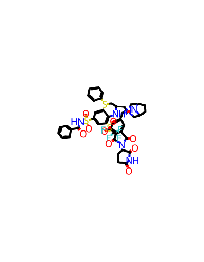 O=C1CCC(N2C(=O)c3cc(CN4CC5CCC(C4)N5CC[C@H](CSc4ccccc4)Nc4ccc(S(=O)(=O)NC(=O)c5ccccc5)cc4S(=O)(=O)C(F)(F)F)cc(F)c3C2=O)C(=O)N1